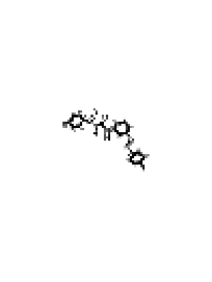 Cc1ccc(SOc2cccc(NC(=O)N[S+]([O-])c3ccc(C)cc3)c2)cc1